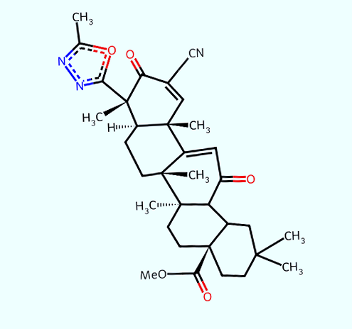 COC(=O)[C@]12CCC(C)(C)CC1C1C(=O)C=C3[C@@]4(C)C=C(C#N)C(=O)[C@@](C)(c5nnc(C)o5)[C@@H]4CC[C@@]3(C)[C@]1(C)CC2